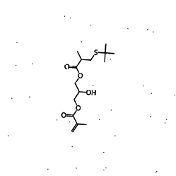 C=C(C)C(=O)OCC(O)COC(=O)C(C)CSC(C)(C)C